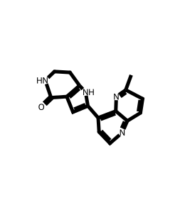 Cc1ccc2nccc(-c3cc4c([nH]3)CCNC4=O)c2n1